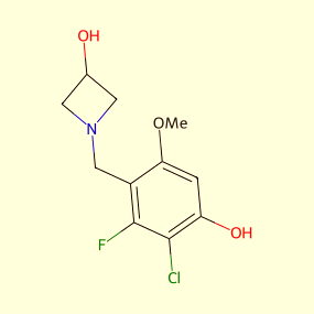 COc1cc(O)c(Cl)c(F)c1CN1CC(O)C1